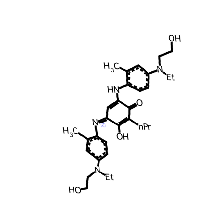 CCCC1=C(O)/C(=N\c2ccc(N(CC)CCO)cc2C)C=C(Nc2ccc(N(CC)CCO)cc2C)C1=O